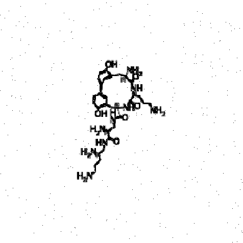 NCCC[C@H](N)CNC(=O)[C@@H](N)CNC(=O)[C@@H]1Cc2cc(ccc2O)-c2ccc(O)c(c2)C[C@H](N)C(=O)N[C@@H](CCCN)C(=O)N1